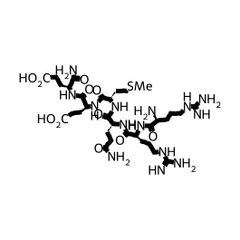 CSCC[C@H](NC(=O)[C@@H](CCC(N)=O)NC(=O)[C@H](CCCNC(=N)N)NC(=O)[C@@H](N)CCCNC(=N)N)C(=O)N[C@@H](CCC(=O)O)C(=O)N[C@@H](CCC(=O)O)C(N)=O